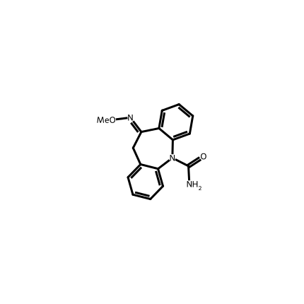 CON=C1Cc2ccccc2N(C(N)=O)c2ccccc21